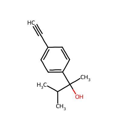 C#Cc1ccc(C(C)(O)C(C)C)cc1